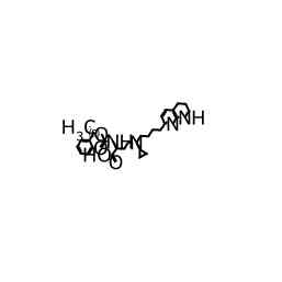 C[C@H](OC(=O)NC(CCN(CCCCc1ccc2c(n1)NCCC2)C1CC1)C(=O)O)c1ccccc1